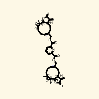 C=C1C(=O)O[C@H]2[C@H]1CC/C(COC(=O)c1cccc(C(=O)OC/C3=C/CC[C@@]4(C)O[C@H]4[C@H]4OC(=O)C(=C)[C@@H]4CC3)n1)=C\CC[C@@]1(C)O[C@@H]21